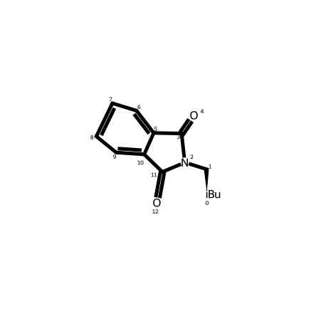 CC[C@H](C)CN1C(=O)c2ccccc2C1=O